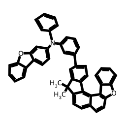 CC1(C)c2cc(-c3cccc(N(c4ccccc4)c4ccc5c(c4)oc4ccccc45)c3)ccc2-c2c1ccc1ccc3oc4ccccc4c3c21